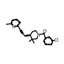 Cc1cccc(C#C/C=C2\CCN(C(=O)c3cccc(Cl)c3)CC2(C)C)n1